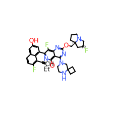 C#Cc1c(F)ccc2cc(O)cc(-c3nc(OCC)c4c(N5CCNC6(CCC6)C5)nc(OC[C@@]56CCCN5C[C@H](F)C6)nc4c3F)c12